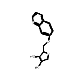 OC1COC(COc2ccc3cccnc3c2)C1O